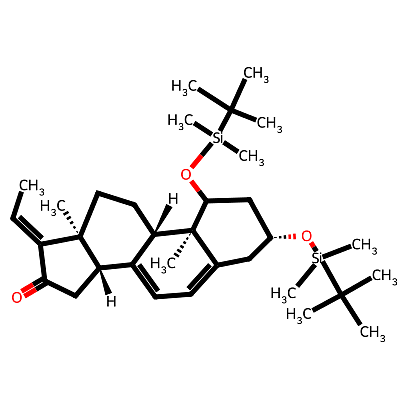 C/C=C1/C(=O)C[C@H]2C3=CC=C4C[C@@H](O[Si](C)(C)C(C)(C)C)CC(O[Si](C)(C)C(C)(C)C)[C@]4(C)[C@H]3CC[C@]12C